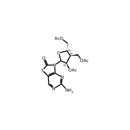 CC(=O)OC[C@@H]1[C@@H](COC(C)=O)OC(n2c(=O)sc3cnc(N)nc32)[C@@H]1OC(C)=O